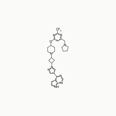 FC(F)(F)c1nc(CN2CCCC2)cc(OC2CCN(C3CC(n4cc(-c5ncnc6[nH]ccc56)cn4)C3)CC2)n1